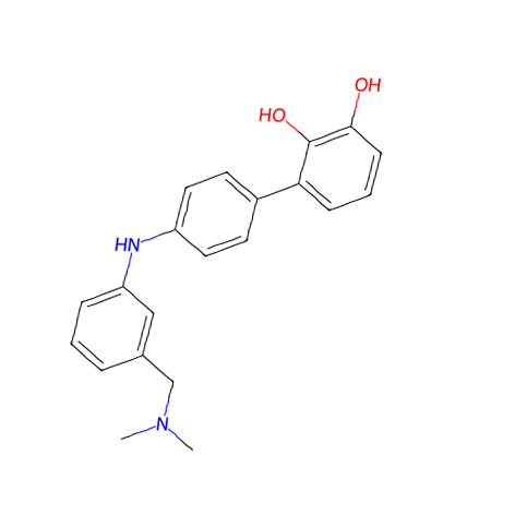 CN(C)Cc1cccc(Nc2ccc(-c3cccc(O)c3O)cc2)c1